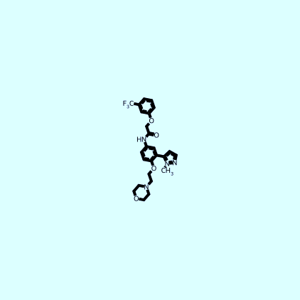 Cn1nccc1-c1cc(NC(=O)COc2cccc(C(F)(F)F)c2)ccc1OCCN1CCOCC1